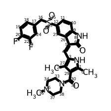 Cc1[nH]c(/C=C2\C(=O)Nc3ccc(S(=O)(=O)Cc4ccc(F)c(F)c4)cc32)c(C)c1C(=O)N1CCN(C)CC1